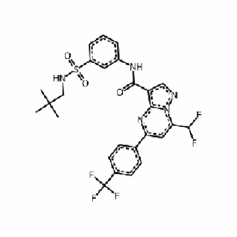 CC(C)(C)CNS(=O)(=O)c1cccc(NC(=O)c2cnn3c(C(F)F)cc(-c4ccc(C(F)(F)F)cc4)nc23)c1